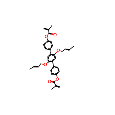 C=C(C)C(=O)Oc1ccc(-c2cc(OC/C=C/C)c(-c3ccc(OC(=O)C(=C)C)cc3)cc2OC/C=C/C)cc1